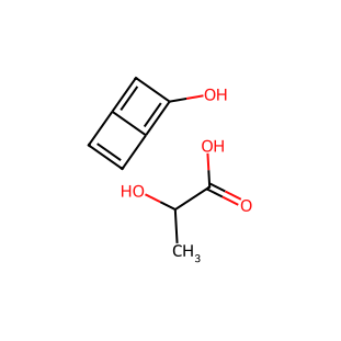 CC(O)C(=O)O.Oc1cc2ccc1-2